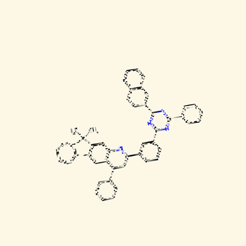 CC1(C)c2ccccc2-c2cc3c(-c4ccccc4)cc(-c4cccc(-c5nc(-c6ccccc6)nc(-c6ccc7ccccc7c6)n5)c4)nc3cc21